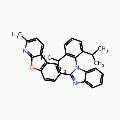 Cc1ccc2c(n1)oc1ccc(-c3nc4ccccc4n3-c3c(C(C)C)cccc3C(C)C)cc12